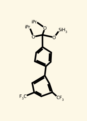 CC(C)OC(O[SiH3])(OC(C)C)c1ccc(-c2cc(C(F)(F)F)cc(C(F)(F)F)c2)cc1